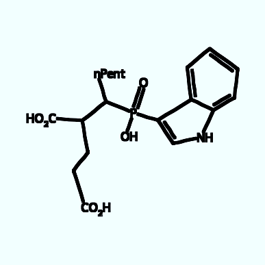 CCCCCC(C(CCC(=O)O)C(=O)O)P(=O)(O)c1c[nH]c2ccccc12